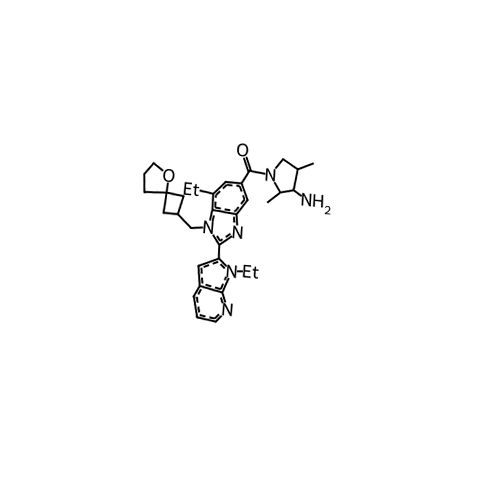 CCc1cc(C(=O)N2CC(C)C(N)C2C)cc2nc(-c3cc4cccnc4n3CC)n(CC3CC4(CCCO4)C3)c12